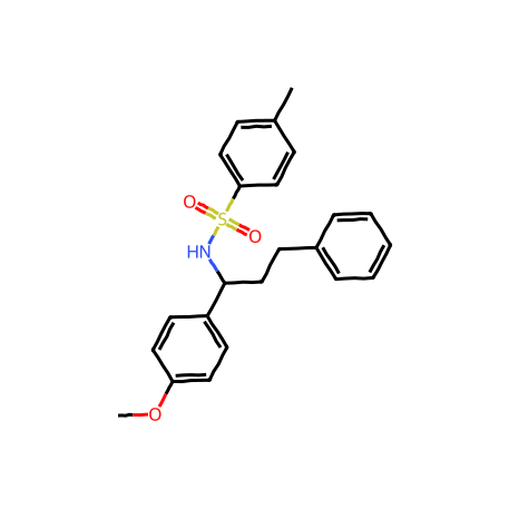 COc1ccc(C(CCc2ccccc2)NS(=O)(=O)c2ccc(C)cc2)cc1